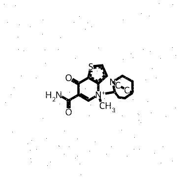 C[N+]1(C2CCC3CCN2CC3)C=C(C(N)=O)C(=O)c2sccc21